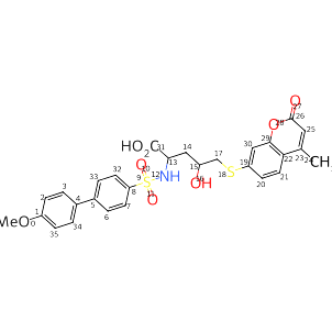 COc1ccc(-c2ccc(S(=O)(=O)NC(CC(O)CSc3ccc4c(C)cc(=O)oc4c3)C(=O)O)cc2)cc1